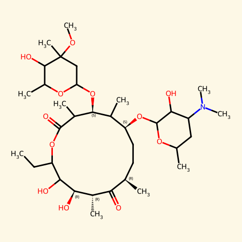 CCC1OC(=O)C(C)[C@@H](OC2CC(C)(OC)C(O)C(C)O2)C(C)[C@@H](OC2OC(C)CC(N(C)C)C2O)CC[C@@H](C)C(=O)[C@H](C)[C@@H](O)C1O